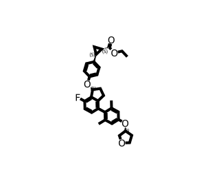 CCOC(=O)[C@H]1C[C@@H]1c1ccc(O[C@@H]2CCc3c(-c4c(C)cc(O[C@@H]5CCOC5)cc4C)ccc(F)c32)cc1